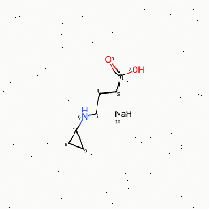 O=C(O)CCCNC1CC1.[NaH]